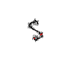 OCC(F)(F)CC(F)(F)OC(F)COCC(F)(F)CC(F)(F)OC(F)COCCCCOCC(F)OC(F)(F)CC(F)(F)COCC(F)OC(F)(F)CC(F)(F)CO